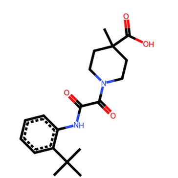 CC1(C(=O)O)CCN(C(=O)C(=O)Nc2ccccc2C(C)(C)C)CC1